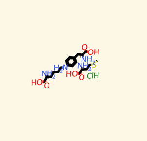 CSCC[C@H](N)C(=O)O.Cl.NCCCC[C@H](N)C(=O)O.N[C@@H](Cc1ccccc1)C(=O)O